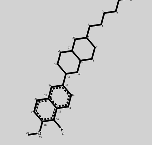 CCCCCCC1CCC2CC(c3ccc4c(F)c(OC)ccc4c3)CCC2C1